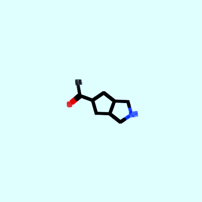 CCC(=O)C1CC2CNCC2C1